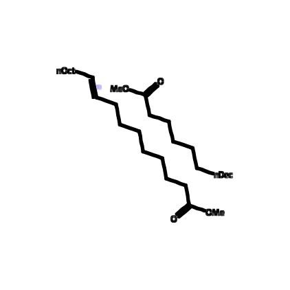 CCCCCCCC/C=C/CCCCCCCC(=O)OC.CCCCCCCCCCCCCCCC(=O)OC